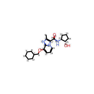 Cc1nc2c(OCC3CCCCC3)cccn2c1C(=O)N[C@H]1CCC[C@@H]1O